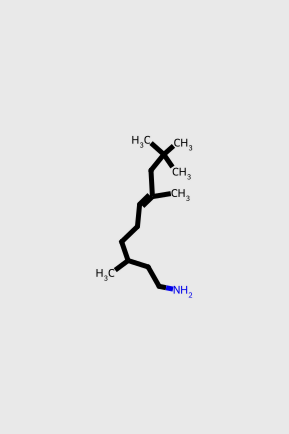 C/C(=C\CCC(C)CCN)CC(C)(C)C